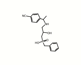 CC(NCC(O)CP(=O)(O)Cc1ccccc1)c1ccc(C#N)cc1